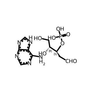 Nc1ncnc2nc[nH]c12.O=CC[C@H](OP(=O)(O)O)[C@H](O)CO